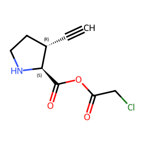 C#C[C@H]1CCN[C@@H]1C(=O)OC(=O)CCl